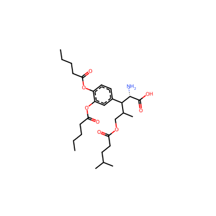 CCCCC(=O)Oc1ccc(C(C(C)COC(=O)CCC(C)C)[C@H](N)C(=O)O)cc1OC(=O)CCCC